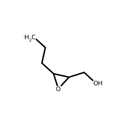 [CH2]CCC1OC1CO